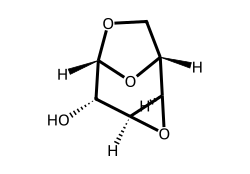 O[C@@H]1[C@@H]2OC[C@@H](O2)[C@H]2O[C@@H]12